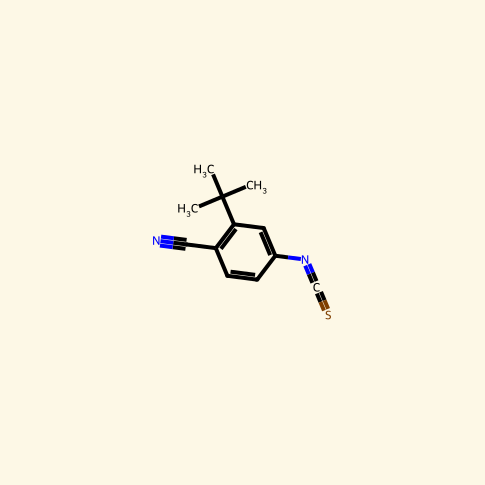 CC(C)(C)c1cc(N=C=S)ccc1C#N